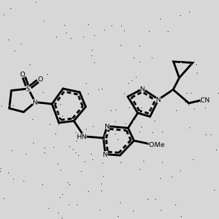 COc1cnc(Nc2cccc(N3CCCS3(=O)=O)c2)nc1-c1cnn(C(CC#N)C2CC2)c1